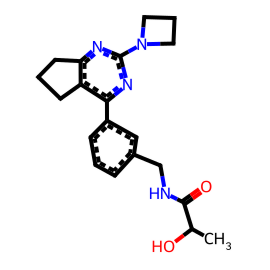 CC(O)C(=O)NCc1cccc(-c2nc(N3CCC3)nc3c2CCC3)c1